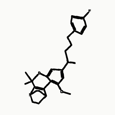 COc1cc(C(C)CCCc2ccc(F)cc2)cc2c1C1=C(N3CCC1CC3)C(C)(C)O2